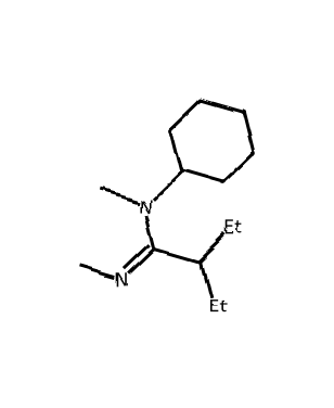 CCC(CC)/C(=N/C)N(C)C1CCCCC1